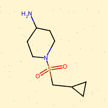 NC1CCN(S(=O)(=O)CC2CC2)CC1